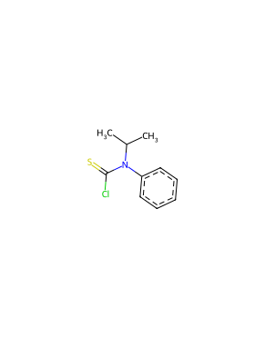 CC(C)N(C(=S)Cl)c1ccccc1